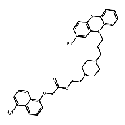 Nc1cccc2c(OCC(=O)OCCN3CCN(CCCN4c5ccccc5Sc5ccc(C(F)(F)F)cc54)CC3)cccc12